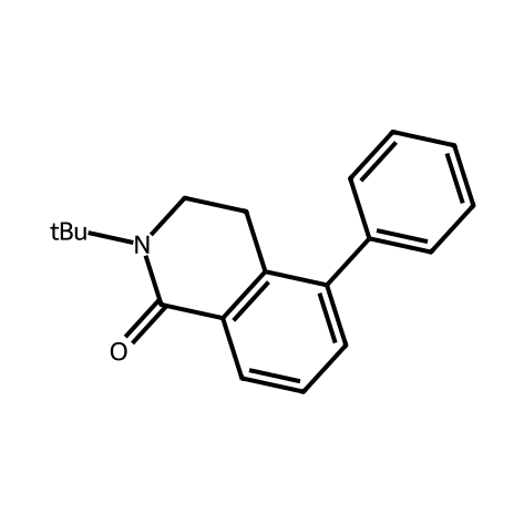 CC(C)(C)N1CCc2c(cccc2-c2ccccc2)C1=O